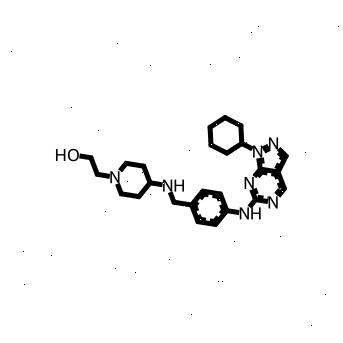 OCCN1CCC(NCc2ccc(Nc3ncc4cnn(C5CCCCC5)c4n3)cc2)CC1